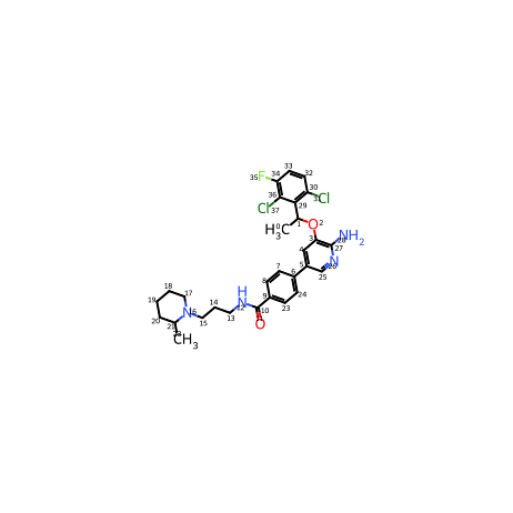 CC(Oc1cc(-c2ccc(C(=O)NCCCN3CCCCC3C)cc2)cnc1N)c1c(Cl)ccc(F)c1Cl